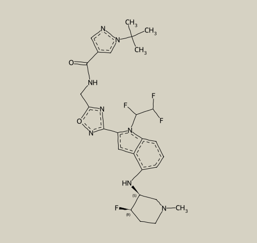 CN1CC[C@@H](F)[C@@H](Nc2cccc3c2cc(-c2noc(CNC(=O)c4cnn(C(C)(C)C)c4)n2)n3C(F)C(F)F)C1